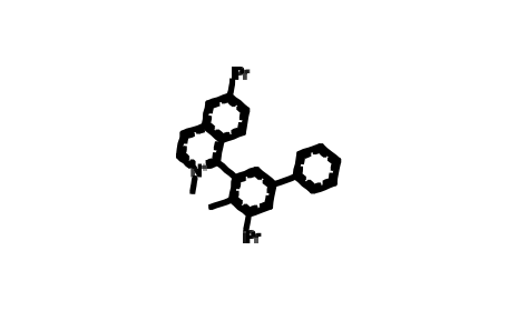 Cc1c(-c2c3ccc(C(C)C)cc3cc[n+]2C)cc(-c2ccccc2)cc1C(C)C